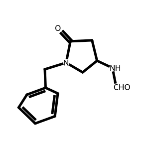 O=CNC1CC(=O)N(Cc2ccccc2)C1